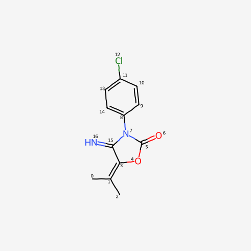 CC(C)=C1OC(=O)N(c2ccc(Cl)cc2)C1=N